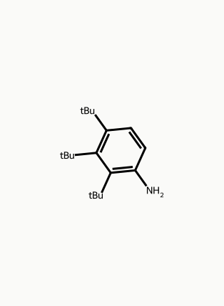 CC(C)(C)c1ccc(N)c(C(C)(C)C)c1C(C)(C)C